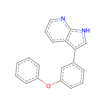 [c]1ccc(Oc2ccccc2)cc1-c1c[nH]c2ncccc12